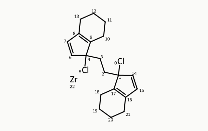 ClC1(CCC2(Cl)C=CC3=C2CCCC3)C=CC2=C1CCCC2.[Zr]